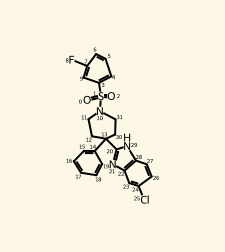 O=S(=O)(c1cccc(F)c1)N1CCC(c2ccccc2)(c2nc3cc(Cl)ccc3[nH]2)CC1